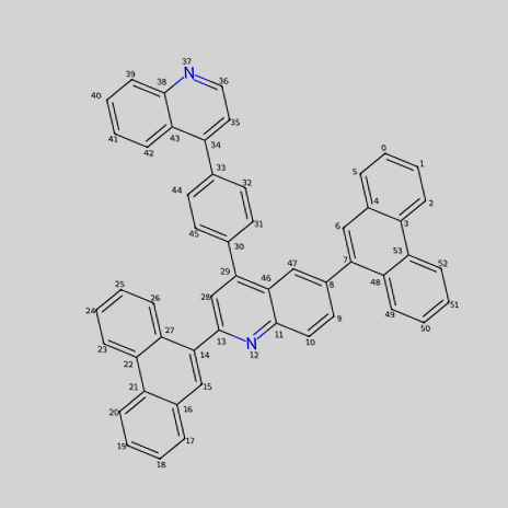 c1ccc2c(c1)cc(-c1ccc3nc(-c4cc5ccccc5c5ccccc45)cc(-c4ccc(-c5ccnc6ccccc56)cc4)c3c1)c1ccccc12